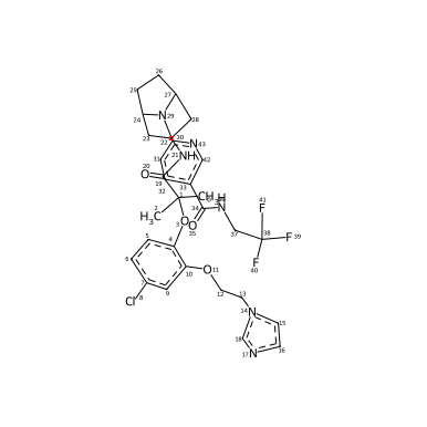 CC(C)(Oc1ccc(Cl)cc1OCCn1ccnc1)C(=O)NC1CC2CCC(C1)N2c1ccc(C(=O)NCC(F)(F)F)cn1